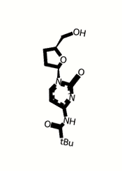 CC(C)(C)C(=O)Nc1ccn([C@H]2CC[C@@H](CO)O2)c(=O)n1